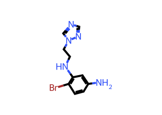 Nc1ccc(Br)c(NCCn2cncn2)c1